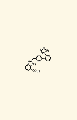 O=C(O)c1cccc2nc(Cc3ccc(-c4ccccc4-c4nnn[nH]4)cc3)[nH]c12